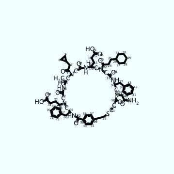 C[C@H]1CN(C(=O)CC2CC2)CC(=O)N[C@@H](CCC(=O)O)CN(C(=O)CCC2CCCCC2)CC(=O)NC(Cc2ccccc2)CN(CC(N)=O)C(=O)CCSCc2ccc(cc2)C(=O)NC(Cc2ccccc2)CN(C(=O)CCC(=O)O)CC(=O)N1